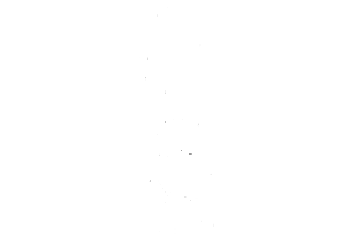 c1cc2cc(-c3cc4cc5sccc5cc4s3)ccc2s1